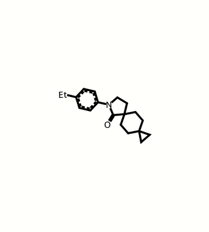 CCc1ccc(N2CCC3(CCC4(CC4)CC3)C2=O)cc1